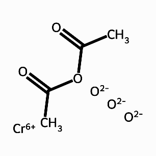 CC(=O)OC(C)=O.[Cr+6].[O-2].[O-2].[O-2]